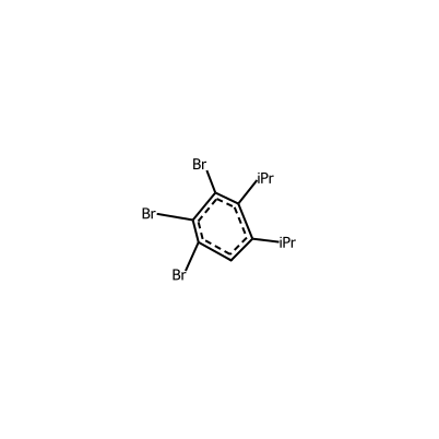 CC(C)c1cc(Br)c(Br)c(Br)c1C(C)C